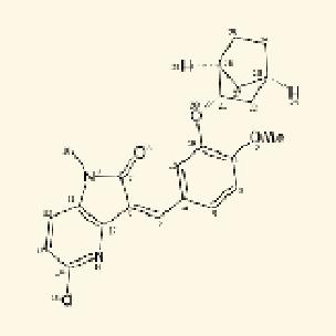 COc1ccc(/C=C2\C(=O)N(C)c3ccc(Cl)nc32)cc1O[C@H]1C[C@@H]2CC[C@H]1C2